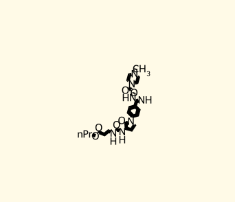 CCCOC(=O)CCNC(=O)N[C@H]1CCN(c2ccc(C(=N)NOC(=O)N3CCN(C)CC3)cc2)C1=O